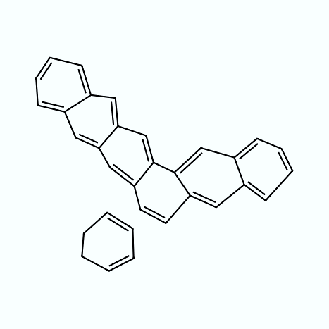 C1=CCCC=C1.c1ccc2cc3cc4c(ccc5cc6ccccc6cc54)cc3cc2c1